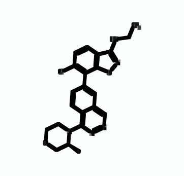 C[C@H]1COCCN1c1nncc2cc(-c3c(Cl)ccc4c(NCC(F)(F)F)noc34)ccc12